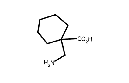 NCC1(C(=O)O)CCCCC1